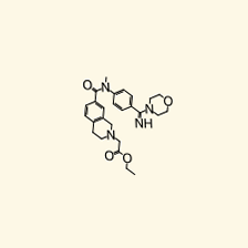 CCOC(=O)CN1CCc2ccc(C(=O)N(C)c3ccc(C(=N)N4CCOCC4)cc3)cc2C1